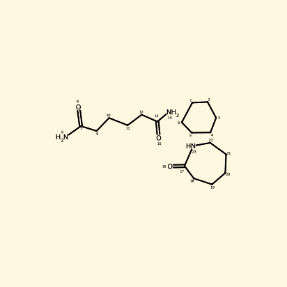 C1CCCCC1.NC(=O)CCCCC(N)=O.O=C1CCCCCN1